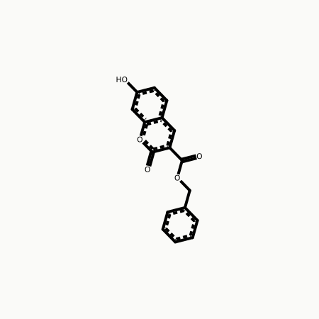 O=C(OCc1ccccc1)c1cc2ccc(O)cc2oc1=O